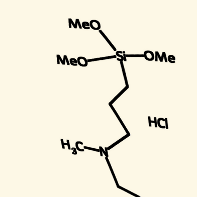 CCCCCCCCCCN(C)CCC[Si](OC)(OC)OC.Cl